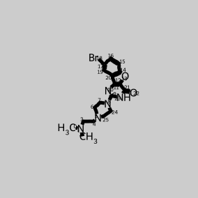 CN(C)CCN1CCN(c2nc3c(oc4ccc(Br)cc43)c(=O)[nH]2)CC1